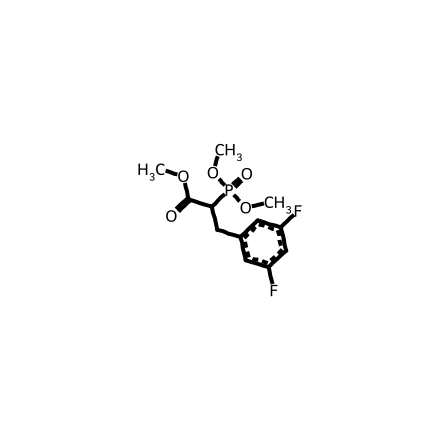 COC(=O)C(Cc1cc(F)cc(F)c1)P(=O)(OC)OC